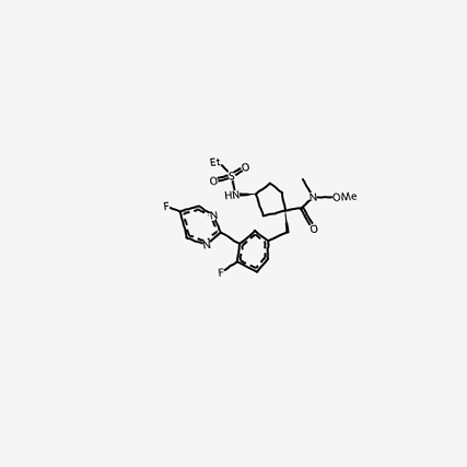 CCS(=O)(=O)N[C@H]1CC[C@](Cc2ccc(F)c(-c3ncc(F)cn3)c2)(C(=O)N(C)OC)C1